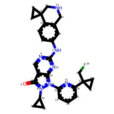 O=c1c2cnc(Nc3ccc4c(c3)CNCC43CC3)nc2n(-c2cccc(C3(CF)CC3)n2)n1C1CC1